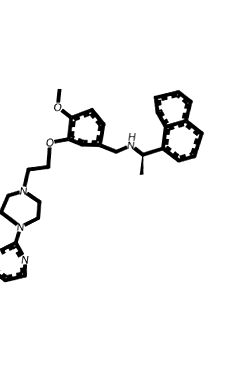 COc1ccc(CN[C@H](C)c2cccc3ccccc23)cc1OCCN1CCN(c2ncccn2)CC1